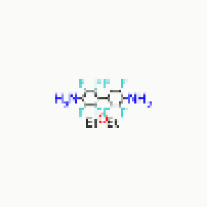 CCOCC.Nc1c(F)c(F)c(-c2c(F)c(F)c(N)c(F)c2F)c(F)c1F